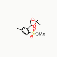 COS(=O)(=O)c1ccc(C)cc1C1COC(C)(C)O1